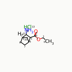 CCOC(=O)C1C2CC[C@H](C2)C1N.Cl